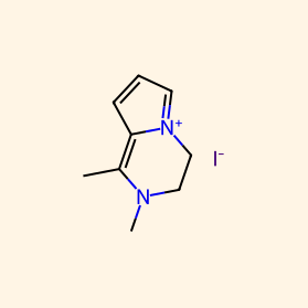 CC1=C2C=CC=[N+]2CCN1C.[I-]